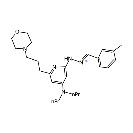 CCCN(CCC)c1cc(CCCN2CCOCC2)nc(N/N=C/c2cccc(C)c2)c1